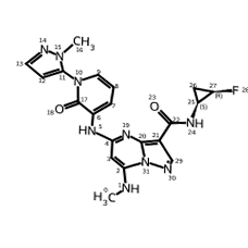 CNc1cc(Nc2cccn(-c3ccnn3C)c2=O)nc2c(C(=O)N[C@H]3C[C@H]3F)cnn12